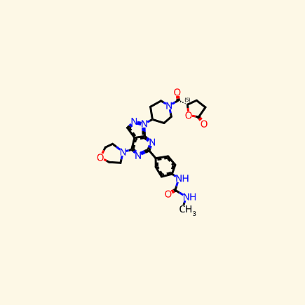 CNC(=O)Nc1ccc(-c2nc(N3CCOCC3)c3cnn(C4CCN(C(=O)[C@@H]5CCC(=O)O5)CC4)c3n2)cc1